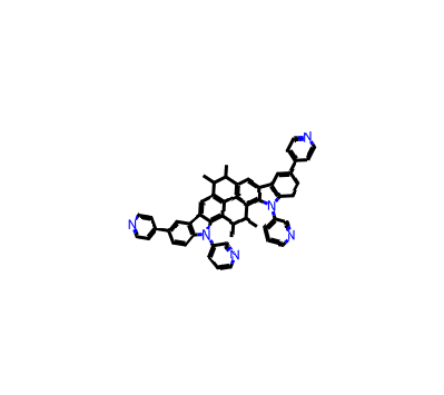 CC1c2cc3c4c(n(-c5cccnc5)c3c3c2-c2c(cc5c6cc(-c7ccncc7)ccc6n(-c6cccnc6)c5c2C(C)C3C)C1C)CCC(c1ccncc1)=C4